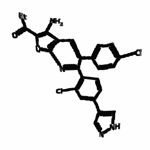 CCC(=O)c1oc2nc(-c3ccc(-c4cn[nH]c4)cc3Cl)c(-c3ccc(Cl)cc3)cc2c1N